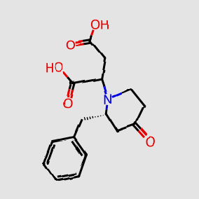 O=C(O)CC(C(=O)O)N1CCC(=O)C[C@@H]1Cc1ccccc1